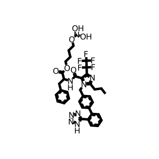 CCCc1nc(C(F)(F)C(F)(F)F)c(C(=O)NC(Cc2ccccc2)C(=O)OCCCCON(O)O)n1Cc1ccc(-c2ccccc2-c2nnn[nH]2)cc1